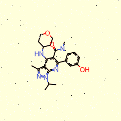 Cc1nn(C(C)C)c2nc(-c3cccc(O)c3)c(C(=O)N(C)C)c(NC3CCOCC3)c12